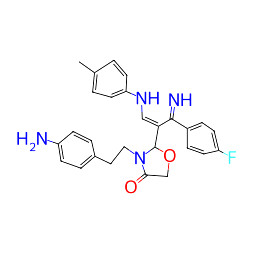 Cc1ccc(N/C=C(\C(=N)c2ccc(F)cc2)C2OCC(=O)N2CCc2ccc(N)cc2)cc1